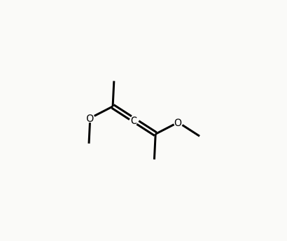 COC(C)=C=C(C)OC